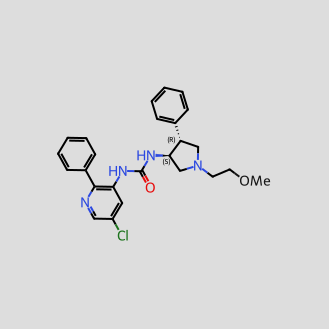 COCCN1C[C@@H](NC(=O)Nc2cc(Cl)cnc2-c2ccccc2)[C@H](c2ccccc2)C1